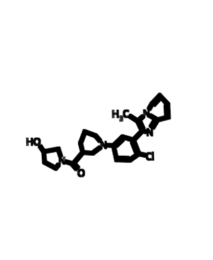 Cc1c(-c2cc(N3CCCC(C(=O)N4CCC(O)C4)C3)ccc2Cl)nc2ccccn12